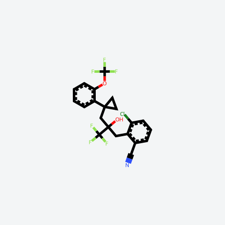 N#Cc1cccc(Cl)c1CC(O)(CC1(c2ccccc2OC(F)(F)F)CC1)C(F)(F)F